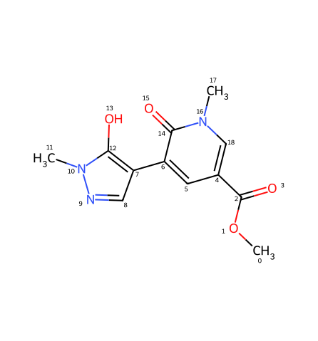 COC(=O)c1cc(-c2cnn(C)c2O)c(=O)n(C)c1